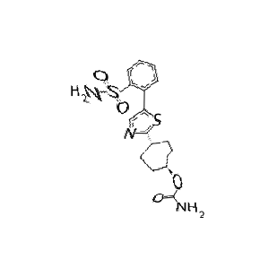 NC(=O)O[C@H]1CC[C@H](c2ncc(-c3ccccc3S(N)(=O)=O)s2)CC1